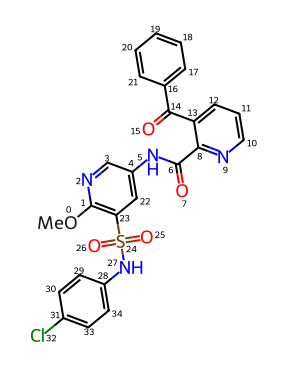 COc1ncc(NC(=O)c2ncccc2C(=O)c2ccccc2)cc1S(=O)(=O)Nc1ccc(Cl)cc1